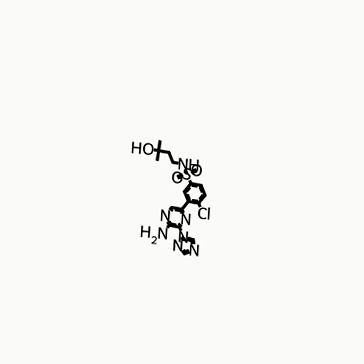 CC(C)(O)CCNS(=O)(=O)c1ccc(Cl)c(-c2cnc(N)c(-n3cncn3)n2)c1